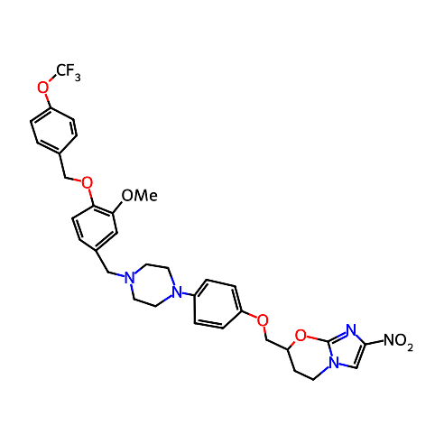 COc1cc(CN2CCN(c3ccc(OCC4CCn5cc([N+](=O)[O-])nc5O4)cc3)CC2)ccc1OCc1ccc(OC(F)(F)F)cc1